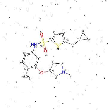 CN1CC[C@@H](Oc2cc(NS(=O)(=O)c3ccc(CC4CC4)s3)ccc2C(F)(F)F)C1